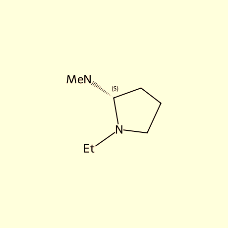 CCN1CCC[C@H]1NC